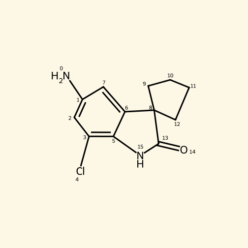 Nc1cc(Cl)c2c(c1)C1(CCCC1)C(=O)N2